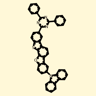 c1ccc(-c2nc(-c3ccccc3)nc(-c3ccc4sc5c(ccc6c7cc(-n8c9ccccc9c9ccccc98)ccc7oc65)c4c3)n2)cc1